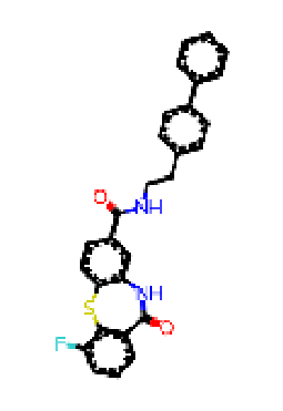 O=C(NCCc1ccc(-c2ccccc2)cc1)c1ccc2c(c1)NC(=O)c1cccc(F)c1S2